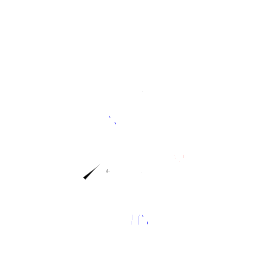 CNC(=O)[C@@H](C)N1CC(C)C1